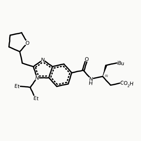 CCC(C)C[C@@H](CC(=O)O)NC(=O)c1ccc2c(c1)nc(CC1CCCO1)n2C(CC)CC